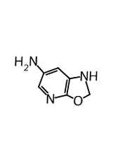 Nc1cnc2c(c1)NCO2